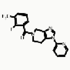 O=C(c1cccc(C(F)(F)F)c1F)N1CCc2c(ncn2-c2ccccn2)C1